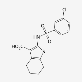 O=C(O)c1c(NS(=O)(=O)c2cccc(Cl)c2)sc2c1CCCC2